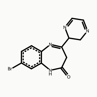 O=C1CC(C2CN=CC=N2)=Nc2ccc(Br)cc2N1